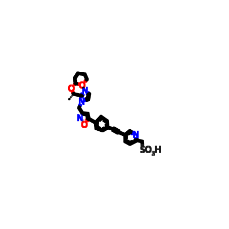 C[C@H](OC1CCCCO1)c1nccn1Cc1cc(-c2ccc(C#Cc3ccc(CS(=O)(=O)O)nc3)cc2)on1